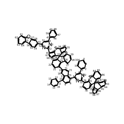 c1ccc(-c2cc(-c3ccc(-c4ccccc4)c4cc(-c5cccc6c5-c5ccccc5C65c6ccccc6Sc6c(-c7nc(-c8ccccc8)cc(-c8ccc9c(c8)oc8ccccc89)n7)cccc65)ccc34)nc(-c3cccc4c3Sc3ccccc3C43c4ccccc4-c4ccccc43)n2)cc1